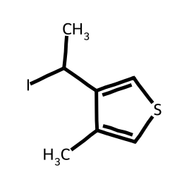 Cc1cscc1C(C)I